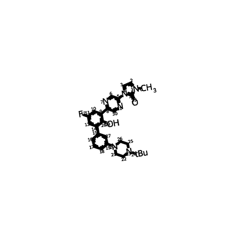 Cn1ccn(-c2cnc(-c3cc(F)cc(-c4cccc(N5CCN(C(C)(C)C)CC5)c4)c3O)cn2)c1=O